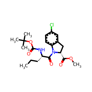 CCC[C@H](NC(=O)OC(C)(C)C)C(=O)N1c2ccc(Cl)cc2C[C@@H]1C(=O)OC